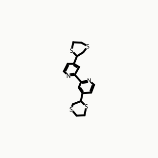 c1cc(C2CSCCS2)cc(-c2cc(C3CSCCS3)ccn2)n1